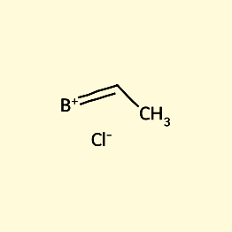 [B+]=CC.[Cl-]